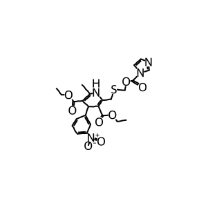 CCOC(=O)C1=C(C)NC(CSCOC(=O)n2ccnc2)=C(C(=O)OCC)C1c1cccc([N+](=O)[O-])c1